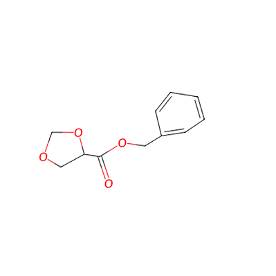 O=C(OCc1ccccc1)C1COCO1